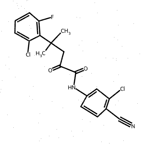 CC(C)(CC(=O)C(=O)Nc1ccc(C#N)c(Cl)c1)c1c(F)cccc1Cl